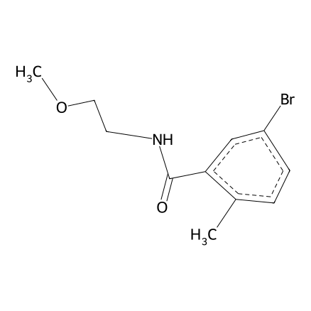 COCCNC(=O)c1cc(Br)ccc1C